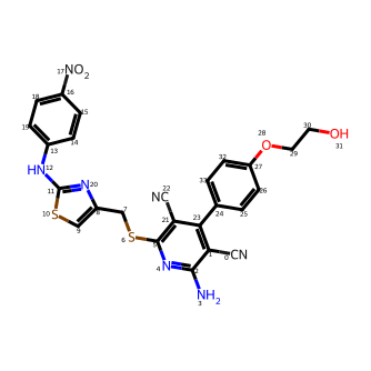 N#Cc1c(N)nc(SCc2csc(Nc3ccc([N+](=O)[O-])cc3)n2)c(C#N)c1-c1ccc(OCCO)cc1